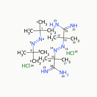 CC(C)(C)N=NC(C)(C)C.CC(C)(N=NC(C)(C)C(=N)N)C(=N)N.Cl.Cl